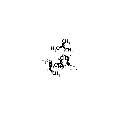 C=CCC.CC(C)C.CC(C)C.CCCC